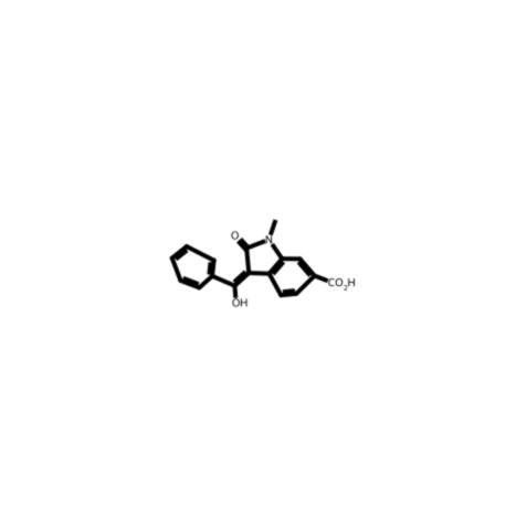 CN1C(=O)C(=C(O)c2ccccc2)c2ccc(C(=O)O)cc21